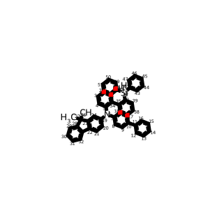 Cc1cccc(N(c2ccc(-c3ccccc3)cc2)c2ccc3c(c2)C(C)(C)c2ccccc2-3)c1-c1ccccc1[SiH](c1ccccc1)c1ccccc1